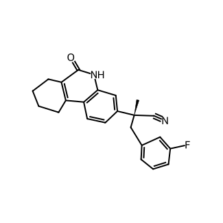 C[C@@](C#N)(Cc1cccc(F)c1)c1ccc2c3c(c(=O)[nH]c2c1)CCCC3